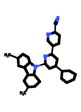 Cc1ccc2c(c1)c1cc(C)ccc1n2-c1cc(-c2ccccc2)cc(-c2ccc(C#N)nc2)n1